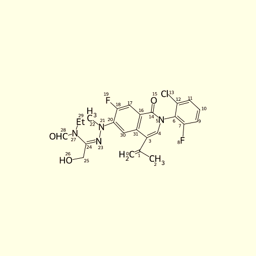 C=C(C)c1cn(-c2c(F)cccc2Cl)c(=O)c2cc(F)c(N(C)/N=C(/CO)N(C=O)CC)cc12